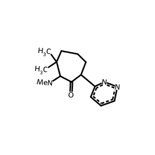 CNC1C(=O)C(c2cccnn2)CCCC1(C)C